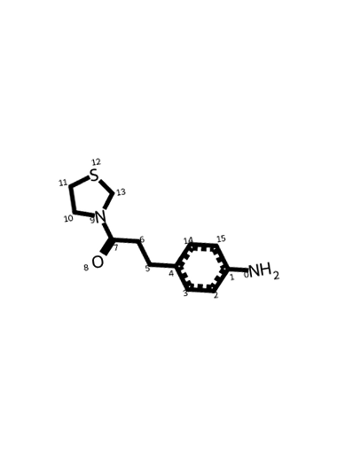 Nc1ccc(CCC(=O)N2CCSC2)cc1